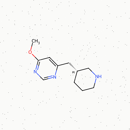 COc1cc(C[C@H]2CCCNC2)ncn1